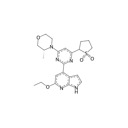 CCOc1cc(-c2nc(C3CCCS3(=O)=O)cc(N3CCOC[C@H]3C)n2)c2cc[nH]c2n1